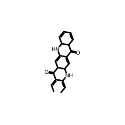 C/C=C1/NC2C=C3C(=O)C4C=CC=CC4NC3=CC2C(=O)/C1=C/C